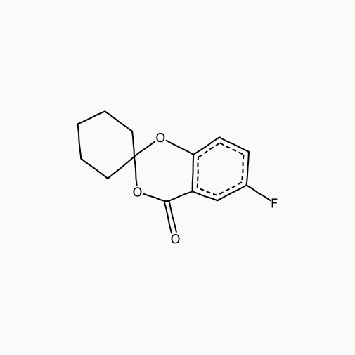 O=C1OC2(CCCCC2)Oc2ccc(F)cc21